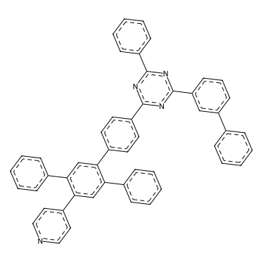 c1ccc(-c2cccc(-c3nc(-c4ccccc4)nc(-c4ccc(-c5cc(-c6ccccc6)c(-c6ccncc6)cc5-c5ccccc5)cc4)n3)c2)cc1